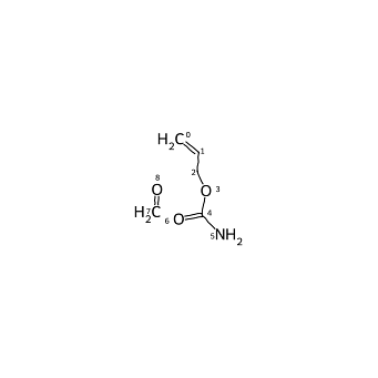 C=CCOC(N)=O.C=O